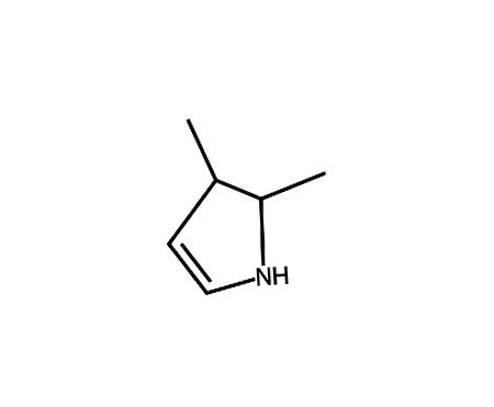 CC1C=CNC1C